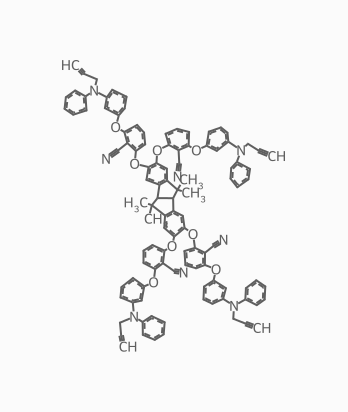 C#CCN(c1ccccc1)c1cccc(Oc2cccc(Oc3cc4c(cc3Oc3cccc(Oc5cccc(N(CC#C)c6ccccc6)c5)c3C#N)C(C)(C)C3c5cc(Oc6cccc(Oc7cccc(N(CC#C)c8ccccc8)c7)c6C#N)c(Oc6cccc(Oc7cccc(N(CC#C)c8ccccc8)c7)c6C#N)cc5C(C)(C)C43)c2C#N)c1